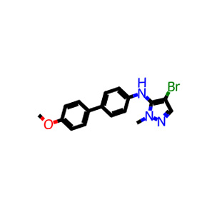 COc1ccc(-c2ccc(Nc3c(Br)cnn3C)cc2)cc1